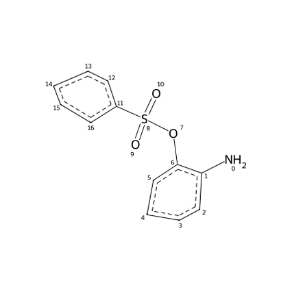 Nc1ccccc1OS(=O)(=O)c1ccccc1